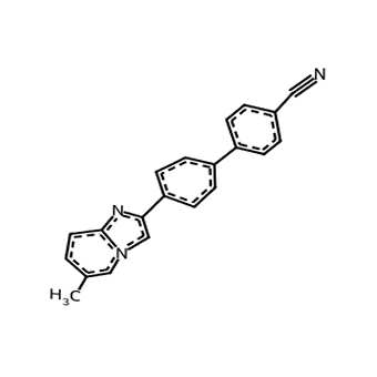 Cc1ccc2nc(-c3ccc(-c4ccc(C#N)cc4)cc3)cn2c1